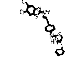 Clc1cc2nc(NCCc3ccc(/N=C4/N[C@@H](Cc5ccccc5)CS4)cc3)sc2cc1Cl